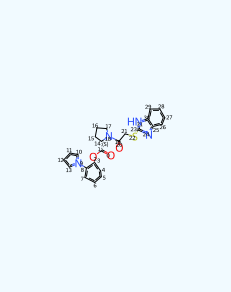 O=C(Oc1ccccc1-n1cccc1)[C@@H]1CCCN1C(=O)CSc1nc2ccccc2[nH]1